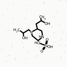 CC(O)CC1CNCCN1CC(C)O.O=S(=O)(O)O